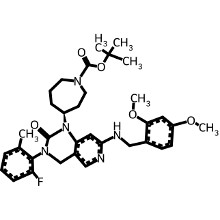 COc1ccc(CNc2cc3c(cn2)CN(c2c(C)cccc2F)C(=O)N3[C@H]2CCCN(C(=O)OC(C)(C)C)CC2)c(OC)c1